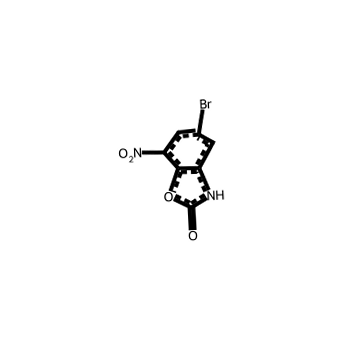 O=c1[nH]c2cc(Br)cc([N+](=O)[O-])c2o1